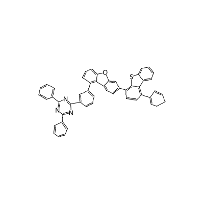 C1=CC(c2ccc(-c3ccc4c(c3)oc3cccc(-c5cccc(-c6nc(-c7ccccc7)nc(-c7ccccc7)n6)c5)c34)c3sc4ccccc4c23)=CCC1